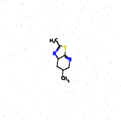 CC1=NC2CC(C)CN=C2S1